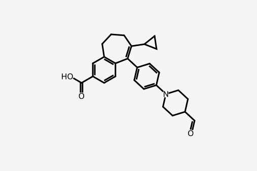 O=CC1CCN(c2ccc(C3=C(C4CC4)CCCc4cc(C(=O)O)ccc43)cc2)CC1